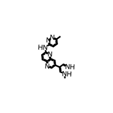 CN/C=C(\C=N)c1cnc2ccc(Nc3ccc(C)nn3)nc2c1